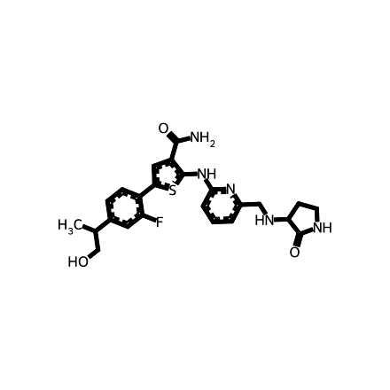 CC(CO)c1ccc(-c2cc(C(N)=O)c(Nc3cccc(CNC4CCNC4=O)n3)s2)c(F)c1